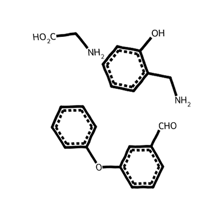 NCC(=O)O.NCc1ccccc1O.O=Cc1cccc(Oc2ccccc2)c1